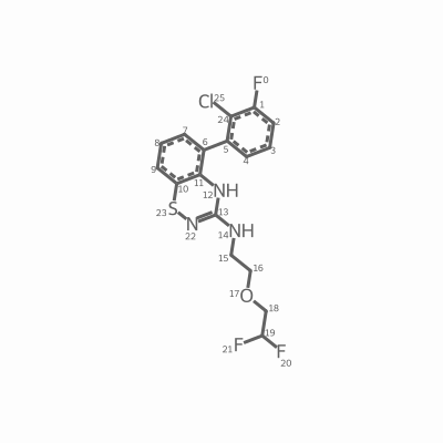 Fc1cccc(-c2cccc3c2NC(NCCOCC(F)F)=NS3)c1Cl